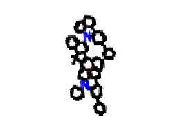 CC1(C)c2c(cc(N(c3ccccc3)c3cc(-c4ccccc4)ccc3-c3ccccc3)c3ccccc23)-c2c1c1ccc(N(c3ccccc3)c3cc(-c4ccccc4)ccc3-c3ccccc3)cc1c1ccccc21